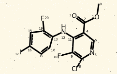 COC(=O)c1cnc(Cl)c(F)c1Nc1ccc(I)cc1F